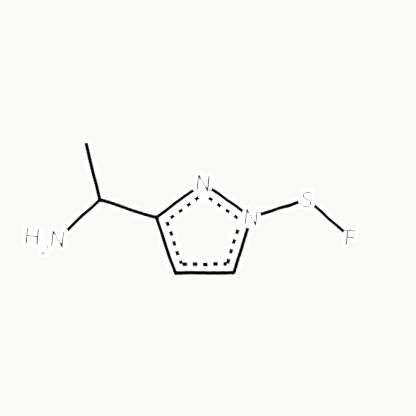 CC(N)c1ccn(SF)n1